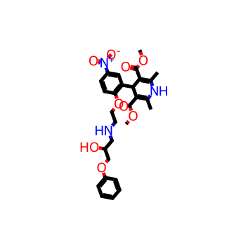 COC(=O)C1=C(C)NC(C)=C(C(=O)OC)C1c1cc([N+](=O)[O-])ccc1OCCNCC(O)COc1ccccc1